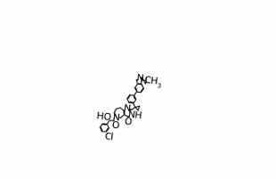 Cn1ncc2cc(-c3cccc(C4(c5nc6c(c(=O)[nH]5)CN(C(=O)C(O)c5cccc(Cl)c5)CCC6)CC4)c3)ccc21